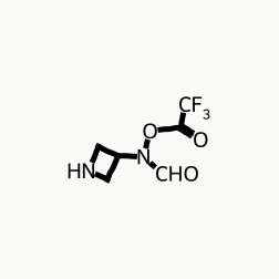 O=CN(OC(=O)C(F)(F)F)C1CNC1